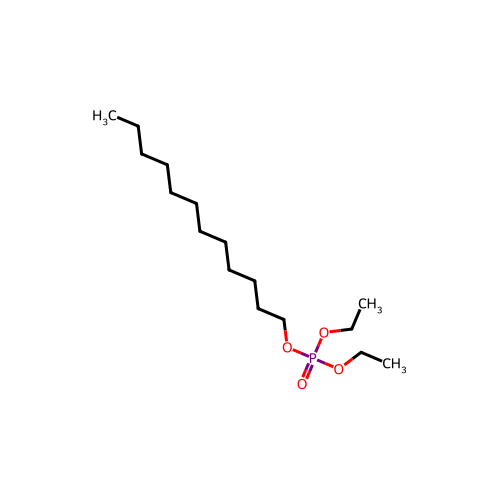 CCCCCCCCCCCCOP(=O)(OCC)OCC